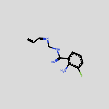 C=C/C=N\CNC(=N)c1cccc(F)c1N